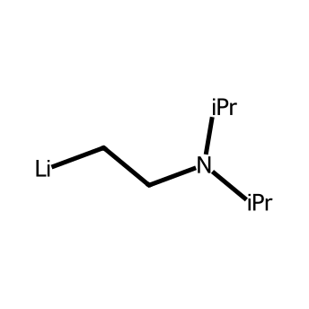 [Li][CH2]CN(C(C)C)C(C)C